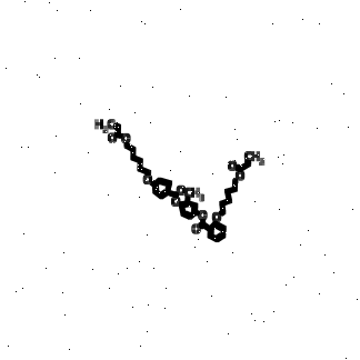 C=CC(=O)OCCCCCCOc1ccc(C(=O)Oc2ccc(OC(=O)c3ccccc3OCCCCCCOC(=O)C=C)cc2C)cc1